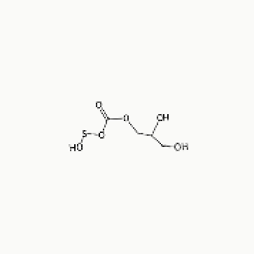 O=C(OCC(O)CO)OSO